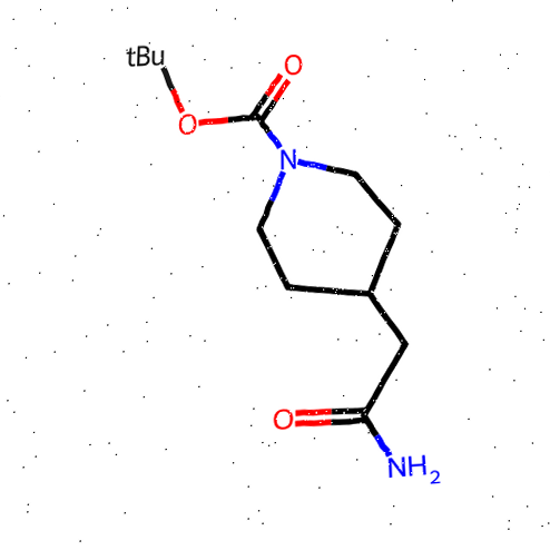 CC(C)(C)OC(=O)N1CCC(CC(N)=O)CC1